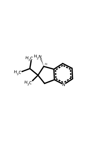 CC(C)C1(C)Cc2ncccc2[C@H]1N